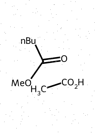 CC(=O)O.CCCCC(=O)OC